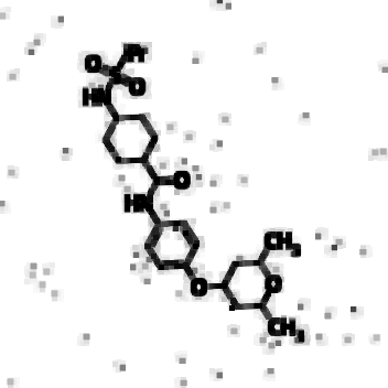 CC1CC(Oc2ccc(NC(=O)C3CCC(NS(=O)(=O)C(C)C)CC3)cc2)CC(C)O1